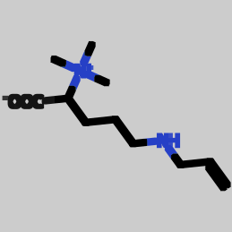 C=CCNCCCC(C(=O)[O-])[N+](C)(C)C